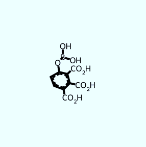 O=C(O)c1ccc(OB(O)O)c(C(=O)O)c1C(=O)O